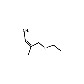 CCOC/C(C)=C\N